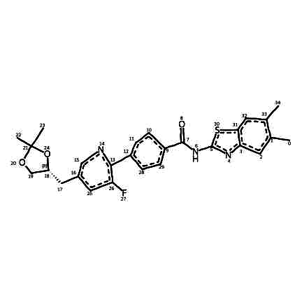 Cc1cc2nc(NC(=O)c3ccc(-c4ncc(C[C@@H]5COC(C)(C)O5)cc4F)cc3)sc2cc1C